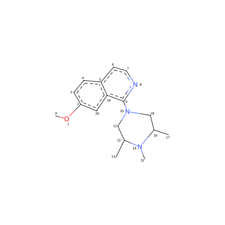 COc1ccc2ccnc(N3CC(C)N(C)C(C)C3)c2c1